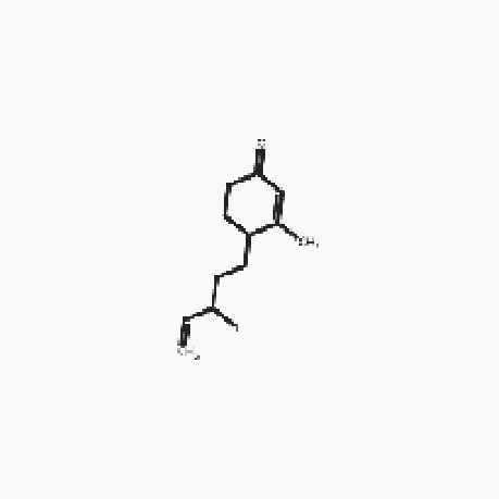 C=CC(I)CCC1CCC(=O)C=C1C